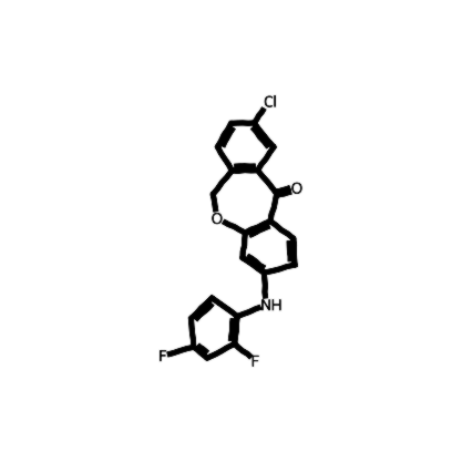 O=C1c2cc(Cl)ccc2COc2cc(Nc3ccc(F)cc3F)ccc21